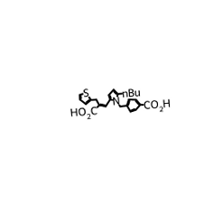 CCCCc1ccc(/C=C(\Cc2cccs2)C(=O)O)n1Cc1ccc(C(=O)O)cc1